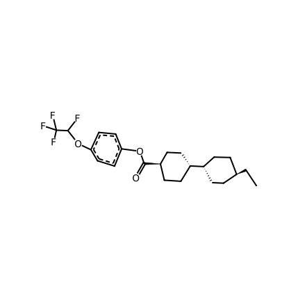 CC[C@H]1CC[C@H]([C@H]2CC[C@H](C(=O)Oc3ccc(OC(F)C(F)(F)F)cc3)CC2)CC1